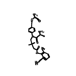 CC(C)c1cccc(C(C)C)c1OC(=O)CC(C)(C)CN(C(=O)[C@H](C)N)c1ccc(OC(=O)C(F)(F)F)cc1